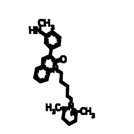 CNc1cccc(-c2cc3ccccc3n(CCCCCN3[C@H](C)CCC[C@@H]3C)c2=O)c1